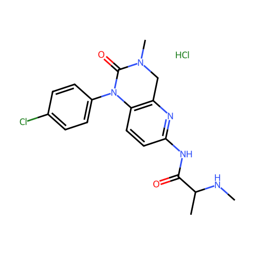 CNC(C)C(=O)Nc1ccc2c(n1)CN(C)C(=O)N2c1ccc(Cl)cc1.Cl